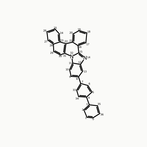 c1ccc(-c2ccc(-c3ccc4c(c3)nc3c5ccccc5c5c6ccccc6ccc5n43)cc2)cc1